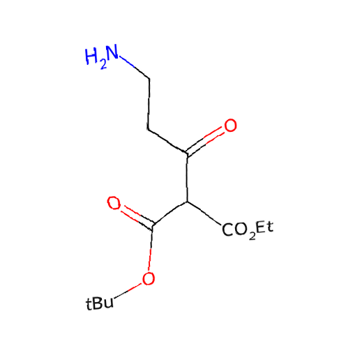 CCOC(=O)C(C(=O)CCN)C(=O)OC(C)(C)C